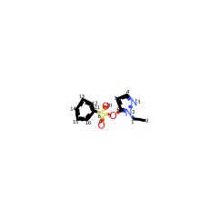 CCn1nccc1OS(=O)(=O)c1ccccc1